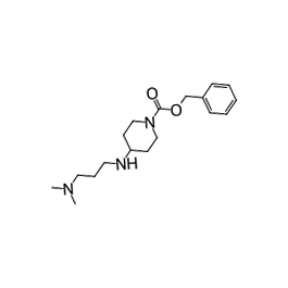 CN(C)CCCNC1CCN(C(=O)OCc2ccccc2)CC1